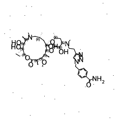 CC[C@H]1OC(=O)[C@H](C)[C@@H](OC)[C@H](C)[C@@H](O[C@@H]2O[C@H](C)C[C@H](N(C)CCc3cn(Cc4ccc(C(N)=O)cc4)nn3)[C@H]2O)[C@](C)(O)C[C@@H](C)CN(C)[C@H](C)[C@@H](O)[C@]1(C)O